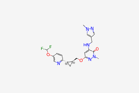 Cn1cc(CNc2cc(OC[C@H]3C[C@@H]3c3ccc(OC(F)F)cn3)nn(C)c2=O)cn1